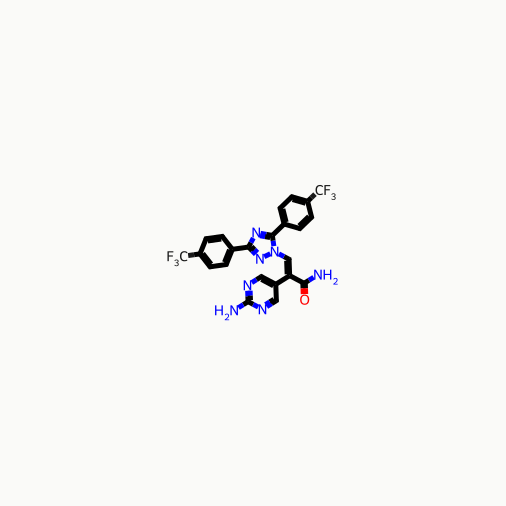 NC(=O)/C(=C/n1nc(-c2ccc(C(F)(F)F)cc2)nc1-c1ccc(C(F)(F)F)cc1)c1cnc(N)nc1